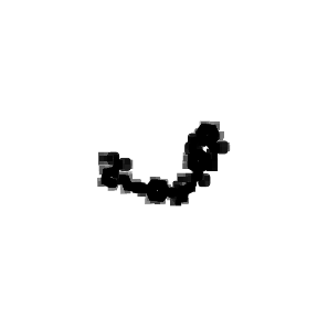 O=C(NCc1cnc(-c2ccc(C#CCCN3CCC[C@H]3C(=O)O)cc2)s1)c1ccc2c(c1)NC(=O)c1ccccc1S2(=O)=O